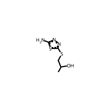 CC(O)CSc1nnc(N)s1